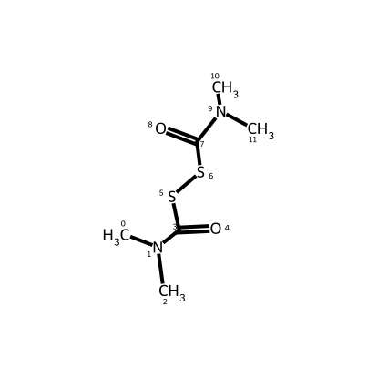 CN(C)C(=O)SSC(=O)N(C)C